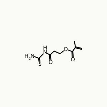 C=C(C)C(=O)OCCC(=O)NC(N)=S